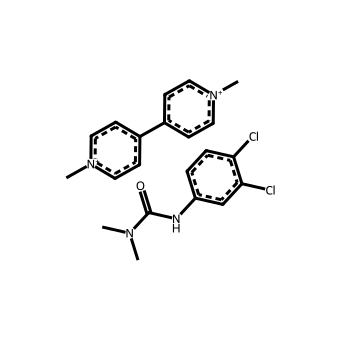 CN(C)C(=O)Nc1ccc(Cl)c(Cl)c1.C[n+]1ccc(-c2cc[n+](C)cc2)cc1